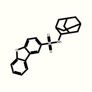 O=S(=O)(NC1C2CC3CC(C2)CC1C3)c1ccc2oc3ccccc3c2c1